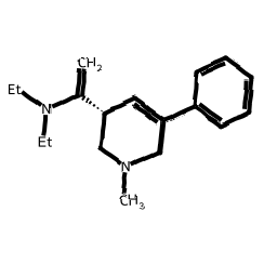 C=C([C@@H]1C=C(c2ccccc2)CN(C)C1)N(CC)CC